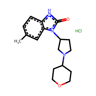 Cc1ccc2[nH]c(=O)n(C3CCN(C4CCOCC4)C3)c2c1.Cl